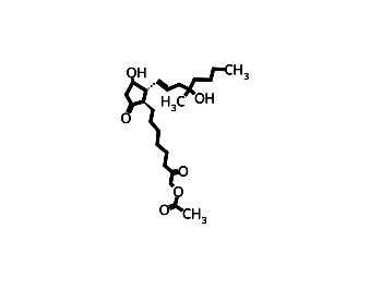 CCCCC(C)(O)CC=C[C@H]1[C@H](O)CC(=O)[C@@H]1CCCCCCC(=O)COC(C)=O